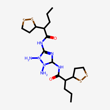 CCCC(C(=O)NC1=NC(NC(=O)C(CCC)C2CCSS2)N(N)N1N)C1CCSS1